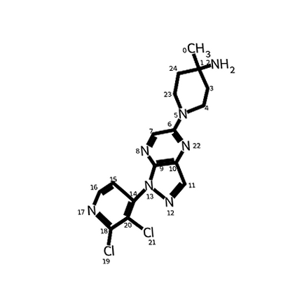 CC1(N)CCN(c2cnc3c(cnn3-c3ccnc(Cl)c3Cl)n2)CC1